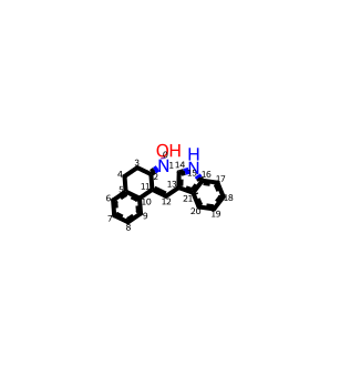 ON=C1CCc2ccccc2C1=Cc1c[nH]c2ccccc12